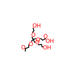 CC(=O)CCOCC(COCCCO)(COCCCO)COCCC(=O)O